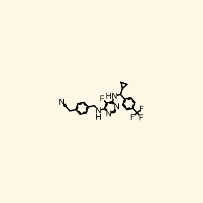 N#CCc1ccc(CNc2ncnc(NC(c3ccc(C(F)(F)F)cc3)C3CC3)c2F)cc1